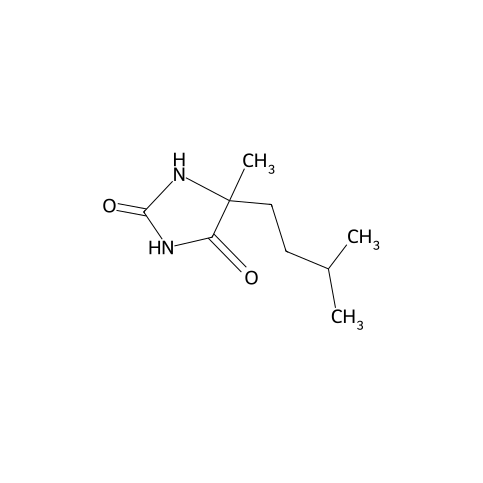 CC(C)CCC1(C)NC(=O)NC1=O